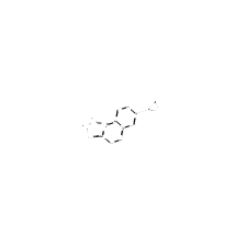 c1cc2c(ccc3nnnn32)cc1C1CO1